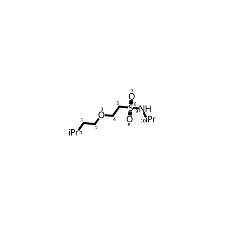 CC(C)CCOCCS(=O)(=O)NC(C)C